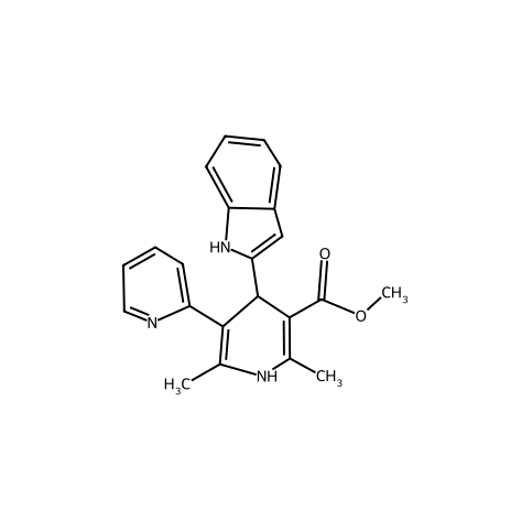 COC(=O)C1=C(C)NC(C)=C(c2ccccn2)C1c1cc2ccccc2[nH]1